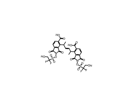 CC(C=CC(C)c1c(C(=O)O)ccc2c1C(=O)N(OS(=O)(=O)C(F)(F)CO)C2=O)c1c(C(=O)O)ccc2c1C(=O)N(OS(=O)(=O)C(F)(F)CO)C2=O